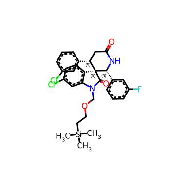 C[Si](C)(C)CCOCN1C(=O)[C@]2(c3ccc(Cl)cc31)[C@@H](c1cccc(F)c1)NC(=O)C[C@H]2c1cccc(Cl)c1